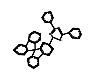 c1ccc(C2=NC(c3ccc4c(c3)C3(c5ccccc5-c5ccccc53)c3ccccc3-4)NC(c3ccccc3)=N2)cc1